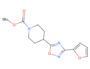 CC(C)(C)OC(=O)N1CCC(c2nc(-c3ccco3)no2)CC1